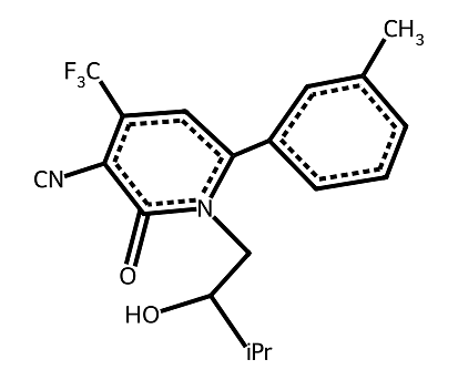 [C-]#[N+]c1c(C(F)(F)F)cc(-c2cccc(C)c2)n(CC(O)C(C)C)c1=O